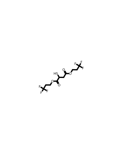 O=C(CC(S)C(=O)OCCC(F)(F)F)OCCC(F)(F)F